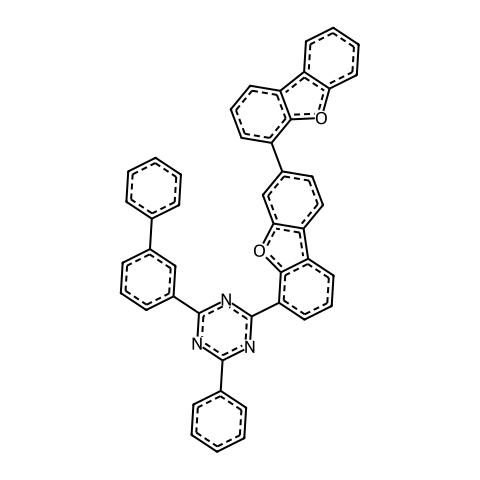 c1ccc(-c2cccc(-c3nc(-c4ccccc4)nc(-c4cccc5c4oc4cc(-c6cccc7c6oc6ccccc67)ccc45)n3)c2)cc1